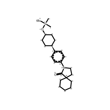 CC(C)(C)[Si](C)(C)O[C@H]1CC[C@@H](c2ccc(N3CCC4(CCCCC4)C3=O)cc2)CC1